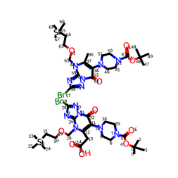 CC(C)(C)OC(=O)N1CCN(c2c(CC(=O)O)n(COCC[Si](C)(C)C)c3nc(Br)nn3c2=O)CC1.Cc1c(N2CCN(C(=O)OC(C)(C)C)CC2)c(=O)n2nc(Br)nc2n1COCC[Si](C)(C)C